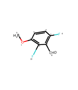 BOc1ccc(F)c(C=O)c1F